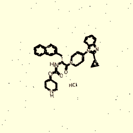 Cl.O=C(N[C@H](Cc1ccc2ccccc2c1)C(=O)N1CCC(n2c(C3CC3)nc3ccccc32)CC1)OC1CCNCC1